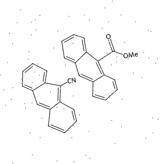 COC(=O)c1c2ccccc2cc2ccccc12.N#Cc1c2ccccc2cc2ccccc12